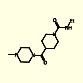 CCNC(=O)N1CCC(C(=O)N2CCN(C)CC2)CC1